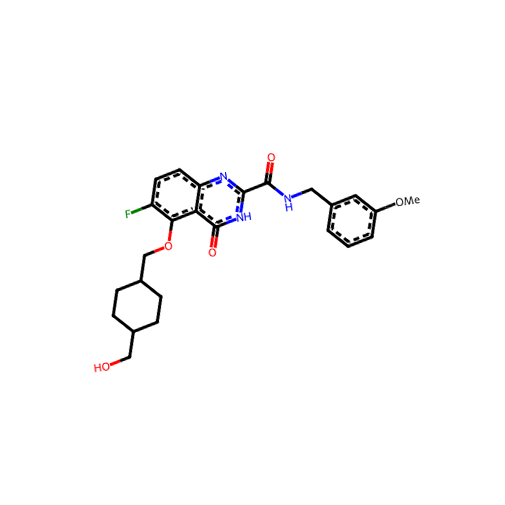 COc1cccc(CNC(=O)c2nc3ccc(F)c(OCC4CCC(CO)CC4)c3c(=O)[nH]2)c1